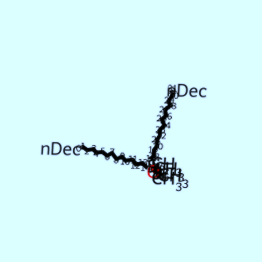 CCCCCCCCCCCCCCCCCCCCCCCC[Si](C)(CCCCCCCCCCCCCCCCCCCCCCCC)O[Si](C)(C)C